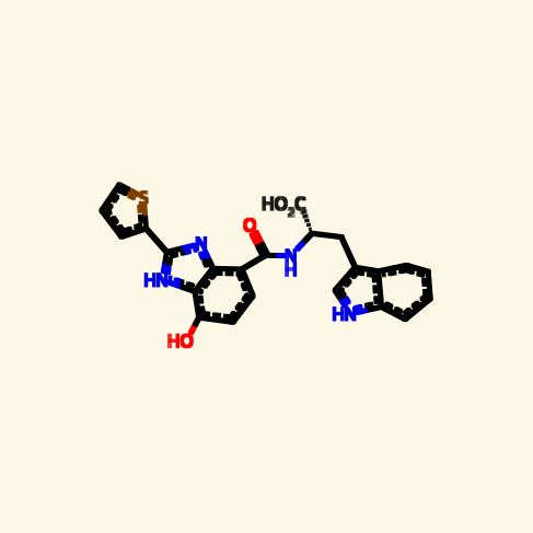 O=C(N[C@@H](Cc1c[nH]c2ccccc12)C(=O)O)c1ccc(O)c2[nH]c(-c3cccs3)nc12